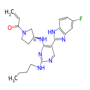 C=CC(=O)N1CC[C@H](Nc2nc(NCCCC)ncc2-c2nc3cc(F)ccc3[nH]2)C1